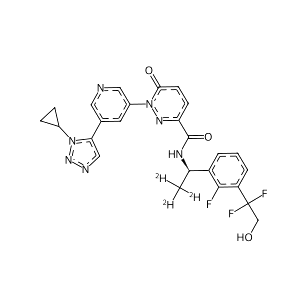 [2H]C([2H])([2H])[C@@H](NC(=O)c1ccc(=O)n(-c2cncc(-c3cnnn3C3CC3)c2)n1)c1cccc(C(F)(F)CO)c1F